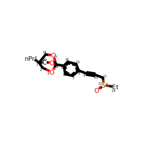 CCCC12COC(c3ccc(C#CC[S+]([O-])CC)cc3)(OC1)OC2